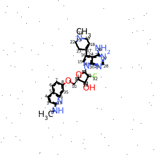 CNc1ccc2ccc(OC[C@H]3O[C@@H](n4cc(C5=CCN(C)CC5)c5c(N)ncnc54)[C@@H](F)[C@@H]3O)cc2n1